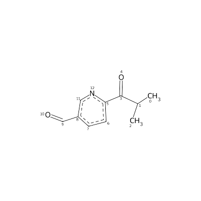 CC(C)C(=O)c1ccc(C=O)cn1